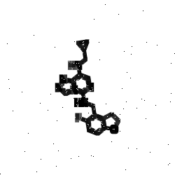 Fc1ccc2c(c1CNc1ncc(NCC3CC3)c3nncn13)CCO2